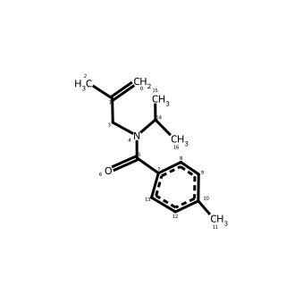 C=C(C)CN(C(=O)c1ccc(C)cc1)C(C)C